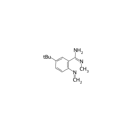 C=Nc1ccc(C(C)(C)C)cc1/C(N)=N\C